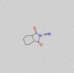 N#CN1C(=O)C2CCCCC2C1=O